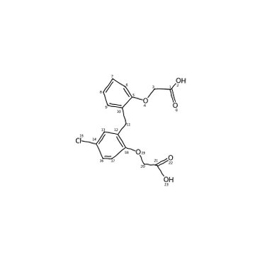 O=C(O)COc1ccccc1Cc1cc(Cl)ccc1OCC(=O)O